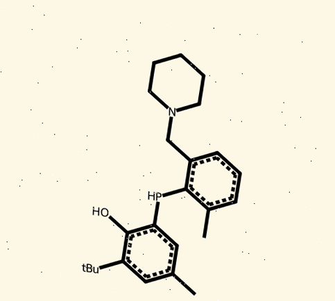 Cc1cc(Pc2c(C)cccc2CN2CCCCC2)c(O)c(C(C)(C)C)c1